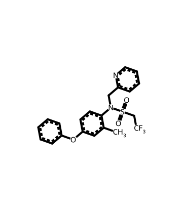 Cc1cc(Oc2ccccc2)ccc1N(Cc1ccccn1)S(=O)(=O)CC(F)(F)F